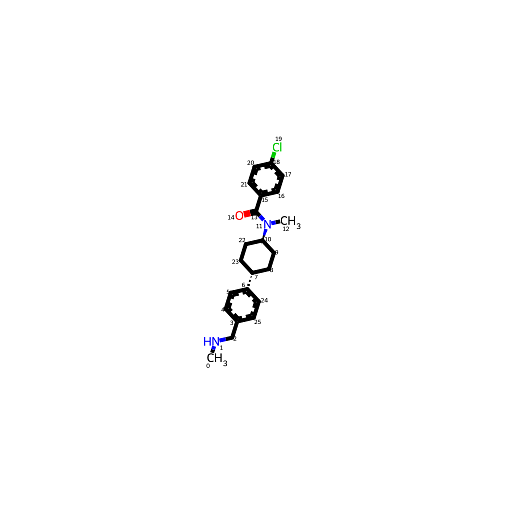 CNCc1ccc([C@H]2CC[C@H](N(C)C(=O)c3ccc(Cl)cc3)CC2)cc1